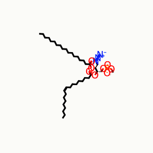 CCCCCCCC/C=C\CCCCCCCC(=O)O[C@@H](COP(=O)(OC)OC)[C@H](CN=[N+]=[N-])OC(=O)CCCCCCCCCCCCCCCCC